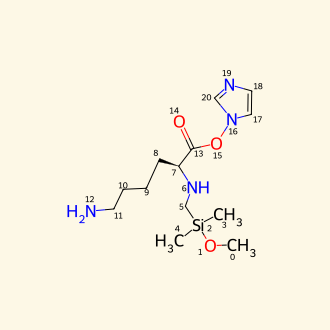 CO[Si](C)(C)CN[C@@H](CCCCN)C(=O)On1ccnc1